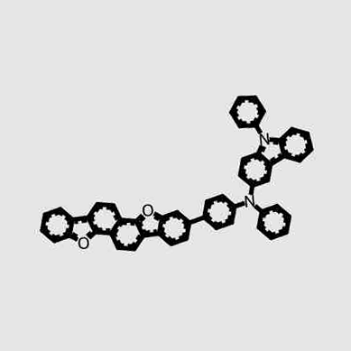 c1ccc(N(c2ccc(-c3ccc4c(c3)oc3c4ccc4c3ccc3c5ccccc5oc34)cc2)c2ccc3c(c2)c2ccccc2n3-c2ccccc2)cc1